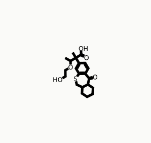 CC(OCCO)C(C)(C(=O)O)c1ccc2c(c1)SCC1CCCCC1C2=O